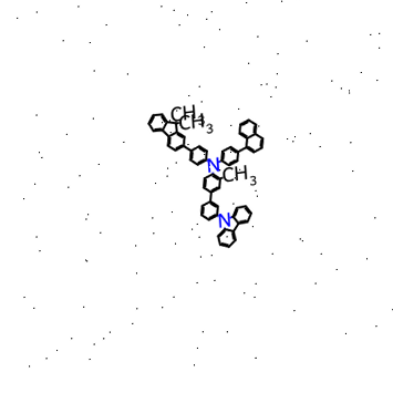 Cc1cc(-c2cccc(-n3c4ccccc4c4ccccc43)c2)ccc1N(c1ccc(-c2ccc3c(c2)C(C)(C)c2ccccc2-3)cc1)c1ccc(-c2cccc3ccccc23)cc1